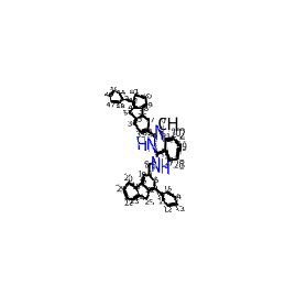 C=NC(NC(NCc1cc(-c2ccccc2)c2c(c1)-c1ccccc1C2)c1ccccc1)c1ccc2c(c1)-c1cccc(-c3ccccc3)c1C2